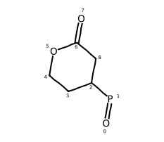 O=PC1CCOC(=O)C1